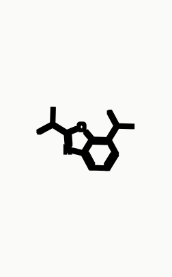 CC(C)c1nc2cccc(C(C)C)c2o1